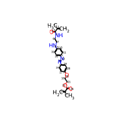 C=C(C)C(=O)NCCNc1ccc(N=Nc2ccc(OCCOC(=O)C(=C)C)cc2)cc1